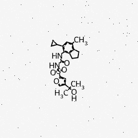 Cc1cc(C2CC2)c(NC(=O)NS(=O)(=O)c2cc(C(C)(C)O)co2)c2c1CCC2